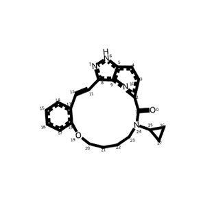 O=C1c2ccc3[nH]nc(c3n2)/C=C/c2ccccc2OCCCCN1C1CC1